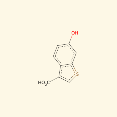 O=C(O)c1csc2cc(O)ccc12